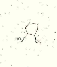 O=C(O)[C@@H]1CCCC[C@H]1C(F)(F)F